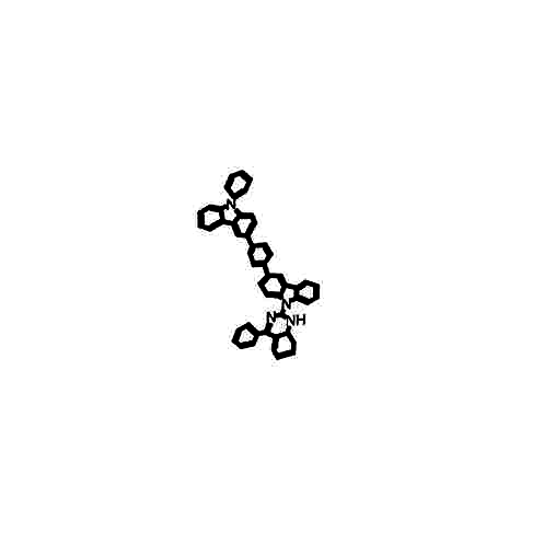 C1=CCC2NC(n3c4ccccc4c4cc(-c5ccc(-c6ccc7c(c6)c6ccccc6n7-c6ccccc6)cc5)ccc43)N=C(c3ccccc3)C2=C1